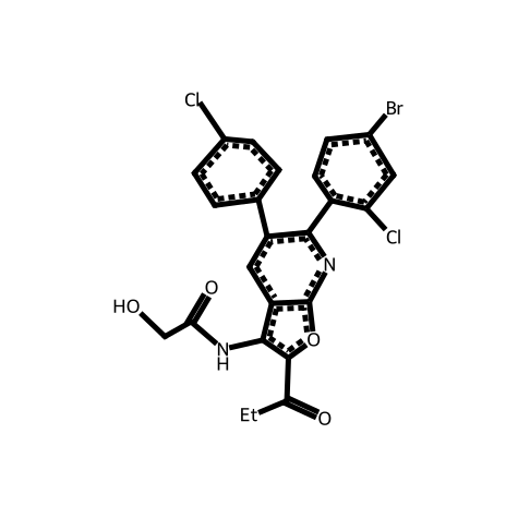 CCC(=O)c1oc2nc(-c3ccc(Br)cc3Cl)c(-c3ccc(Cl)cc3)cc2c1NC(=O)CO